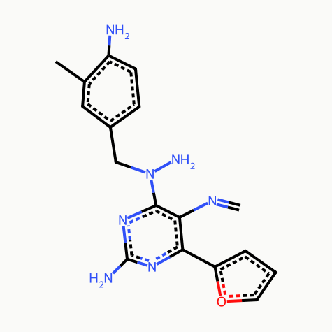 C=Nc1c(-c2ccco2)nc(N)nc1N(N)Cc1ccc(N)c(C)c1